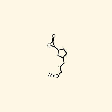 COC[CH]CC1C[CH]C(C2OC2=O)C1